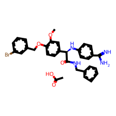 CC(=O)O.COc1cc([C@@H](Nc2ccc(C(=N)N)cc2)C(=O)NCc2ccccc2)ccc1OCc1cccc(Br)c1